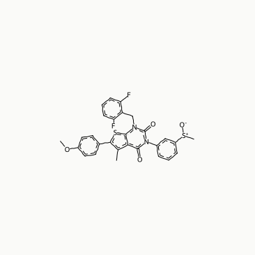 COc1ccc(-c2sc3c(c2C)c(=O)n(-c2cccc([S+](C)[O-])c2)c(=O)n3Cc2c(F)cccc2F)cc1